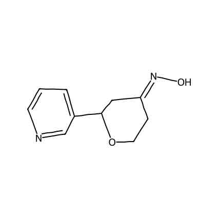 ON=C1CCOC(c2cccnc2)C1